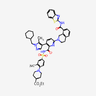 CCOC(=O)C1CCN(c2ccc(S(=O)(=O)NC(=O)c3nc(N4CCc5cccc(C(=O)Nc6nc7ccccc7s6)c5C4)ccc3-c3cnn(CC4CCCCC4)c3C)cc2C#N)CC1